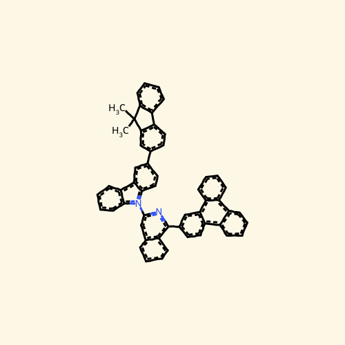 CC1(C)c2ccccc2-c2ccc(-c3ccc4c(c3)c3ccccc3n4-c3cc4ccccc4c(-c4ccc5c6ccccc6c6ccccc6c5c4)n3)cc21